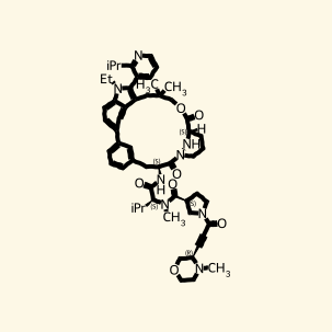 CCn1c(-c2cccnc2C(C)C)c2c3cc(ccc31)-c1cccc(c1)C[C@H](NC(=O)[C@H](C(C)C)N(C)C(=O)[C@H]1CCN(C(=O)C#C[C@@H]3COCCN3C)C1)C(=O)N1CCC[C@H](N1)C(=O)OCC(C)(C)C2